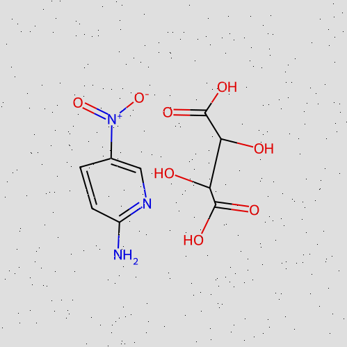 Nc1ccc([N+](=O)[O-])cn1.O=C(O)C(O)C(O)C(=O)O